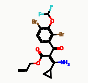 C=CCOC(=O)C(C(=O)c1ccc(Br)c(OC(F)F)c1Br)=C(N)C1CC1